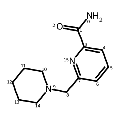 NC(=O)c1cccc(CN2CCCCC2)n1